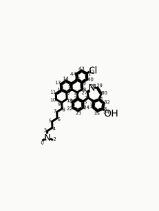 CN(C)CCCCCCC1CC=c2ccc3c(c2C1)C(c1ccccc1C1C=NC=Cc2cc(O)ccc21)C=c1cc(Cl)ccc1=3